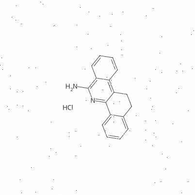 Cl.Nc1nc2c(c3ccccc13)CCc1ccccc1-2